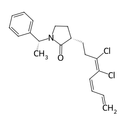 C=C/C=C\C(Cl)=C(\Cl)CC[C@H]1CCN([C@H](C)c2ccccc2)C1=O